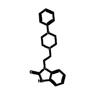 O=c1[nH]c2ccccc2n1CCN1CCN(c2ccccc2)CC1